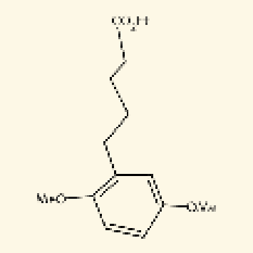 CCOC(=O)CCCCc1cc(OC)ccc1OC